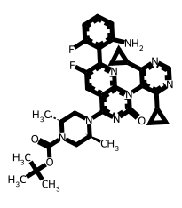 C[C@@H]1CN(c2nc(=O)n(-c3c(C4CC4)ncnc3C3CC3)c3nc(-c4c(N)cccc4F)c(F)cc23)[C@@H](C)CN1C(=O)OC(C)(C)C